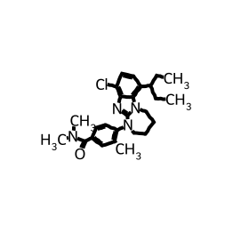 CCC(CC)c1ccc(Cl)c2nc3n(c12)CCCCN3c1ccc(C(=O)N(C)C)cc1C